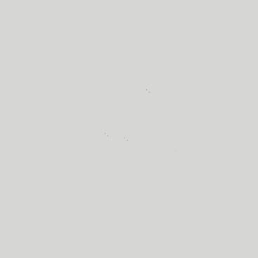 CC(C)/C(C=N)=N/NC1CC1